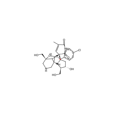 CC1=C[N+]([C@@H]2O[C@@]3(CO)CNC[C@@H]2[C@@H]3OCc2ccc(Cl)cc2)([C@H]2C[C@H](O)[C@@H](CO)O2)C(=O)NC1=O